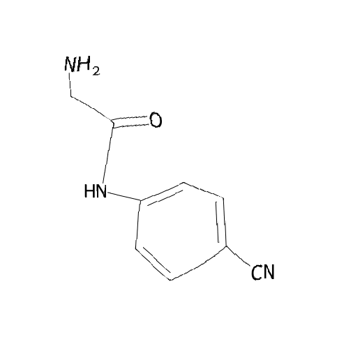 N#Cc1ccc(NC(=O)CN)cc1